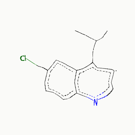 CC(C)c1[c]cnc2ccc(Cl)cc12